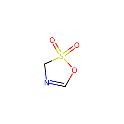 O=S1(=O)CN=CO1